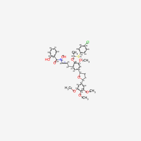 COc1cc(C2CCC(c3cc(OC)c(OC)c(OC)c3)O2)cc(C/C=C/N(O)C(=O)c2ccccc2O)c1OC(C)Sc1ccc(Cl)cc1